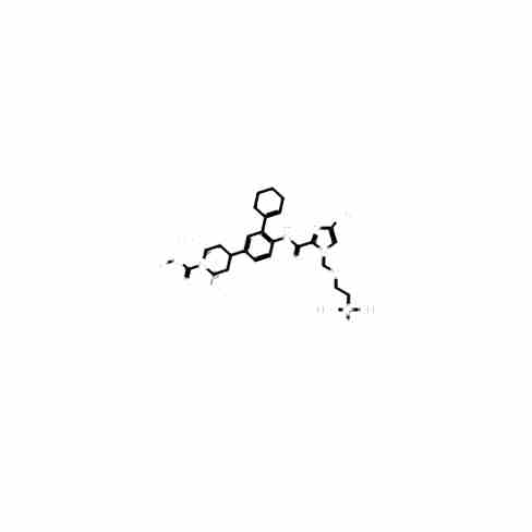 C[C@@H]1CC(c2ccc(NC(=O)c3nc(C#N)cn3COCC[Si](C)(C)C)c(C3=CCCCC3)c2)C[C@@H](C)N1C(=O)OC(C)(C)C